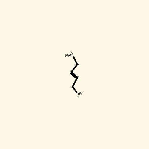 CC[CH]CC=CCSC